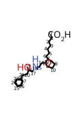 O=C(O)CCCCCCC1C2CCC(O2)C1CCNCC(O)CCc1ccccc1